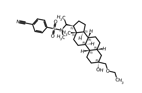 CCOC[C@@]1(O)CC[C@H]2[C@H](CC[C@@H]3[C@@H]2CC[C@]2(C)[C@@H](C(C)N(C)S(=O)(=O)c4ccc(C#N)cc4)CC[C@@H]32)C1